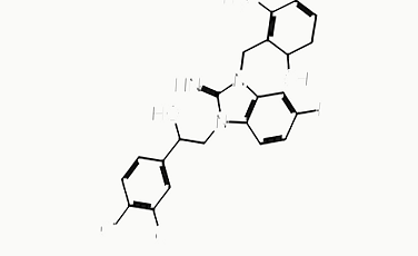 CC1=C(Cn2c(=N)n(CC(O)c3ccc(Cl)c(Cl)c3)c3ccc(F)cc32)C(C)CC=C1